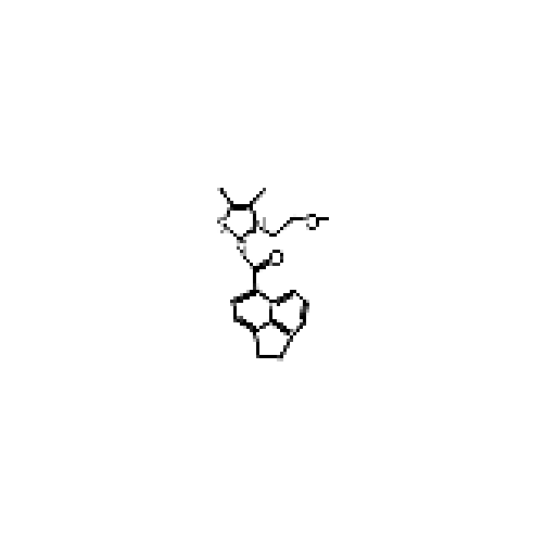 COCCn1c(C)c(C)sc1=NC(=O)c1ccc2c3c(cccc13)CC2